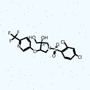 O=S(=O)(c1ccc(Cl)cc1Cl)N1CC(Oc2ccc(C(F)(F)F)nc2)[C@](O)(CO)C1